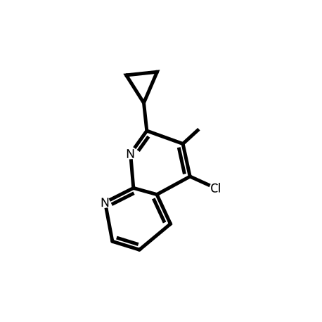 Cc1c(C2CC2)nc2ncccc2c1Cl